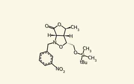 C[C@@H]1OC(=O)[C@@H]2[C@H]1[C@H](CO[Si](C)(C)C(C)(C)C)ON2Cc1cccc([N+](=O)[O-])c1